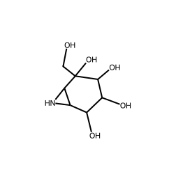 OCC1(O)C(O)C(O)C(O)C2NC21